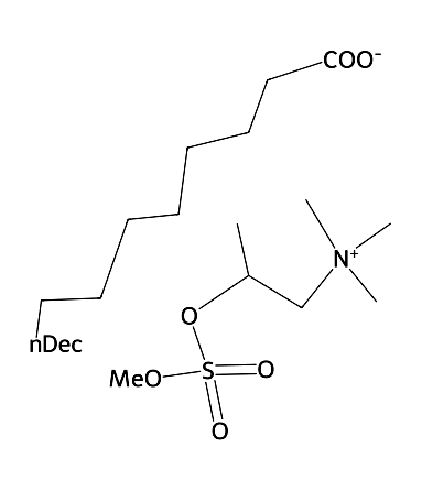 CCCCCCCCCCCCCCCCCC(=O)[O-].COS(=O)(=O)OC(C)C[N+](C)(C)C